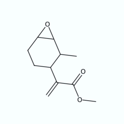 C=C(C(=O)OC)C1CCC2OC2C1C